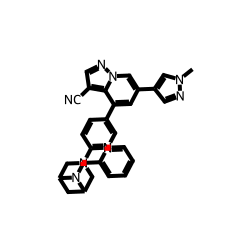 Cn1cc(-c2cc(-c3ccc(N4CC5CC(C4)N5Cc4ccccn4)nc3)c3c(C#N)cnn3c2)cn1